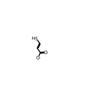 [O]C(=O)C=CS